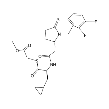 COC(=O)CSC(=O)[C@H](CC1CC1)NC(=O)C[C@@H]1CCC(=S)N1Cc1cccc(F)c1F